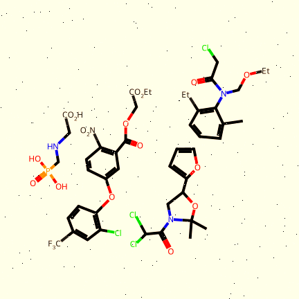 CC1(C)OC(c2ccco2)CN1C(=O)C(Cl)Cl.CCOC(=O)COC(=O)c1cc(Oc2ccc(C(F)(F)F)cc2Cl)ccc1[N+](=O)[O-].CCOCN(C(=O)CCl)c1c(C)cccc1CC.O=C(O)CNCP(=O)(O)O